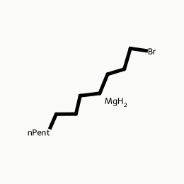 CCCCCCCCCCCCBr.[MgH2]